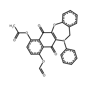 CC(=O)Oc1ccc(OC=O)c2c1C(=O)C1=C(C2=O)N(c2ccccc2)Cc2ccccc2O1